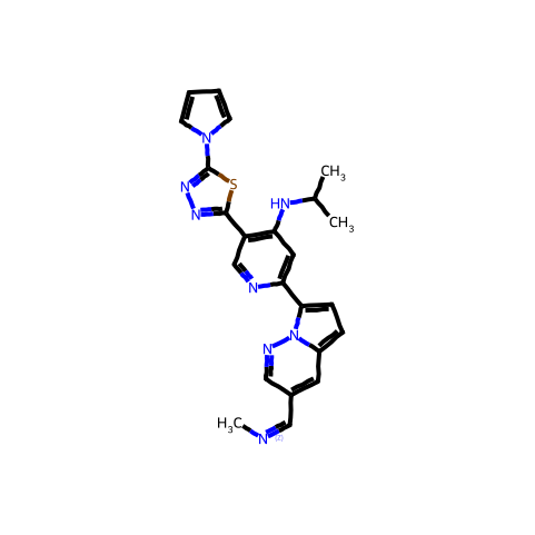 C/N=C\c1cnn2c(-c3cc(NC(C)C)c(-c4nnc(-n5cccc5)s4)cn3)ccc2c1